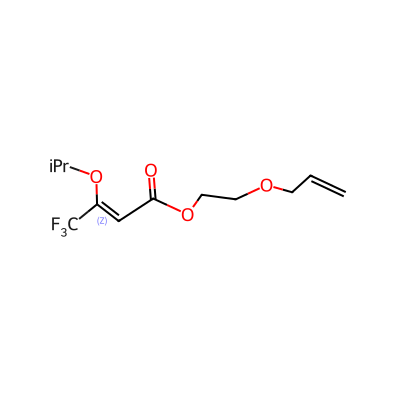 C=CCOCCOC(=O)/C=C(\OC(C)C)C(F)(F)F